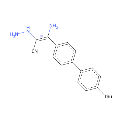 CC(C)(C)c1ccc(-c2ccc(/C(N)=C(\C#N)NN)cc2)cc1